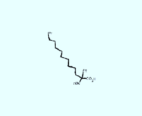 CCCCC(CC)(CCCCCCCCCC(C)C)C(=O)O